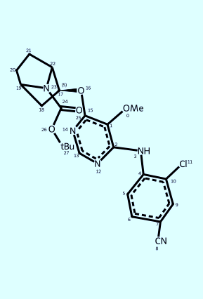 COc1c(Nc2ccc(C#N)cc2Cl)ncnc1O[C@H]1CC2CCC1N2C(=O)OC(C)(C)C